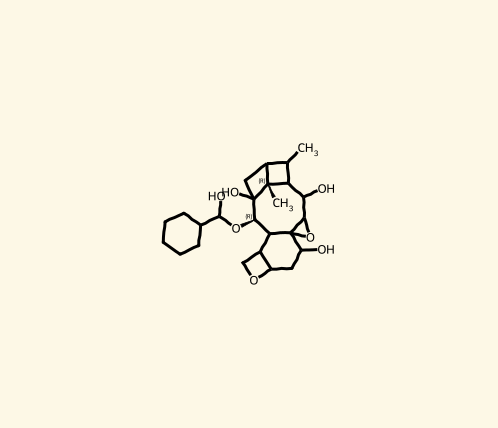 CC1C2CC3(O)[C@H](OC(O)C4CCCCC4)C4C5COC5CC(O)C45OC5C(O)C1[C@@]23C